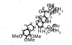 COc1cc2c(c(OC)c1OC)C[C@@H](C(=O)N[C@@H](CO[Si](C)(C)C(C)(C)C)C(=O)N[C@@H](CC(C)C)[C@H](O)C1(CO[Si](C)(C)C(C)(C)C)CO1)CC2